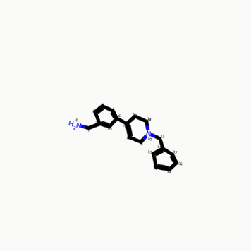 NCc1cccc(C2=CCN(Cc3ccccc3)CC2)c1